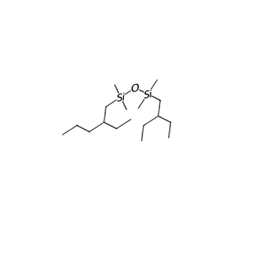 CCCC(CC)C[Si](C)(C)O[Si](C)(C)CC(CC)CC